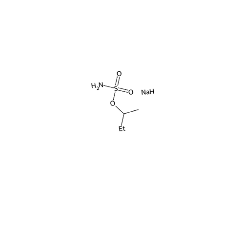 CCC(C)OS(N)(=O)=O.[NaH]